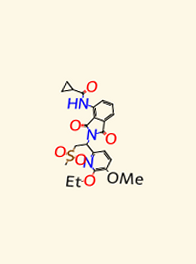 CCOc1nc(C(CS(C)(=O)=O)N2C(=O)c3cccc(NC(=O)C4CC4)c3C2=O)ccc1OC